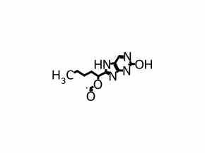 CCCCC(O[C]=O)c1nc2nc(O)ncc2[nH]1